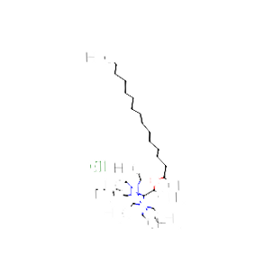 CCCCCCCCCCCCCCC(C)OC(C)C([N+](CC)(CC)CC)[N+](CC)(CC)CC.[Cl-].[Cl-]